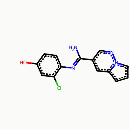 NC(=Nc1ccc(O)cc1Cl)c1cnn2cccc2c1